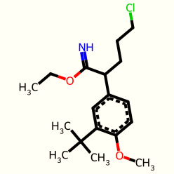 CCOC(=N)C(CCCCl)c1ccc(OC)c(C(C)(C)C)c1